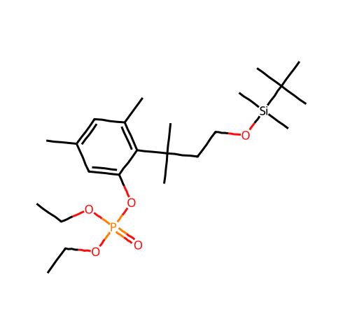 CCOP(=O)(OCC)Oc1cc(C)cc(C)c1C(C)(C)CCO[Si](C)(C)C(C)(C)C